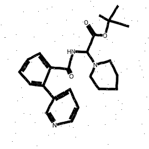 CC(C)(C)OC(=O)C(NC(=O)c1ccccc1-c1[c]nccc1)N1CCCCC1